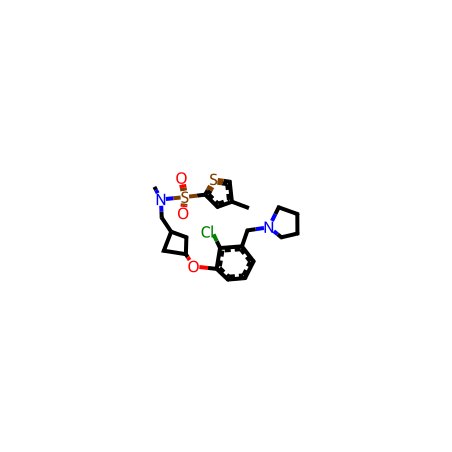 Cc1csc(S(=O)(=O)N(C)CC2CC(Oc3cccc(CN4CCCC4)c3Cl)C2)c1